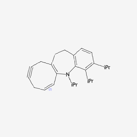 CC(C)c1ccc2c(c1C(C)C)N(C(C)C)C1=C(CC#CC/C=C\1)CC2